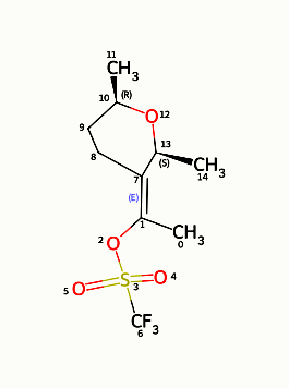 C/C(OS(=O)(=O)C(F)(F)F)=C1/CC[C@@H](C)O[C@H]1C